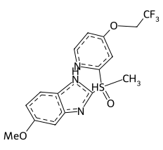 COc1ccc2[nH]c([SH](C)(=O)c3cc(OCC(F)(F)F)ccn3)nc2c1